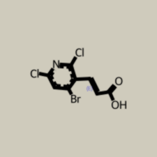 O=C(O)/C=C/c1c(Br)cc(Cl)nc1Cl